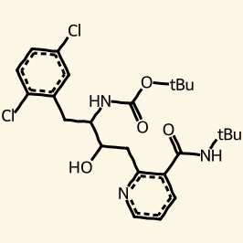 CC(C)(C)NC(=O)c1cccnc1CC(O)C(Cc1cc(Cl)ccc1Cl)NC(=O)OC(C)(C)C